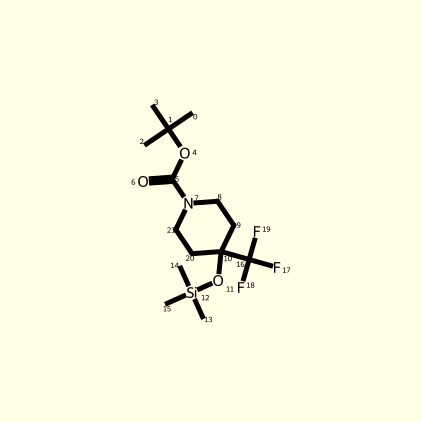 CC(C)(C)OC(=O)N1CCC(O[Si](C)(C)C)(C(F)(F)F)CC1